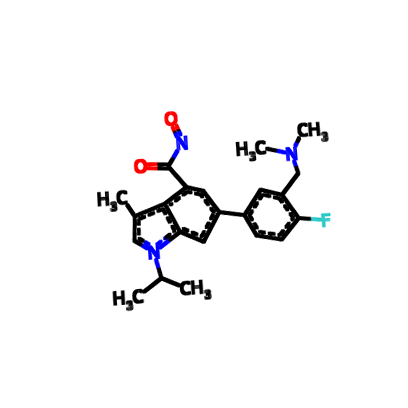 Cc1cn(C(C)C)c2cc(-c3ccc(F)c(CN(C)C)c3)cc(C(=O)N=O)c12